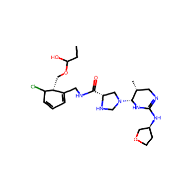 CCC(O)OC[C@@H]1C(CNC(=O)[C@@H]2CN([C@H]3NC(N[C@H]4CCOC4)=NC[C@H]3C)CN2)=CC=CC1Cl